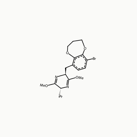 COC1=N[C@H](C(C)C)C(OC)=N[C@H]1Cc1ccc(Br)c2c1OCCCO2